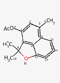 CC(=O)Oc1cc(C)c2c3c1C(C)(C)OC3=C=C=C2